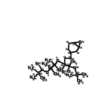 CCC(O[Si](C)(C)C(C)(CC)O[Si](C)(CCC1CCC2OC2C1)C(C)(CC)O[Si](C)(C)C)[Si](C)(C)C